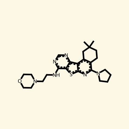 CC1(C)CCc2c(N3CCCC3)nc3sc4c(NCCN5CCOCC5)ncnc4c3c2C1